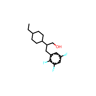 CCC1CCC(C(CO)Cc2cc(F)cc(F)c2F)CC1